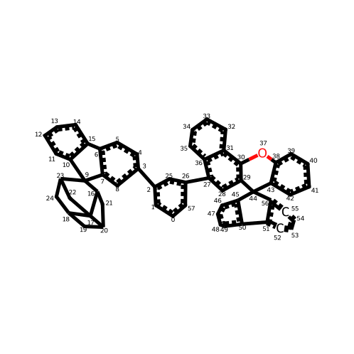 c1cc(-c2ccc3c(c2)C2(c4ccccc4-3)C3CC4CC(C3)CC2C4)cc(-c2cc3c(c4ccccc24)Oc2ccccc2C32c3ccccc3-c3ccccc32)c1